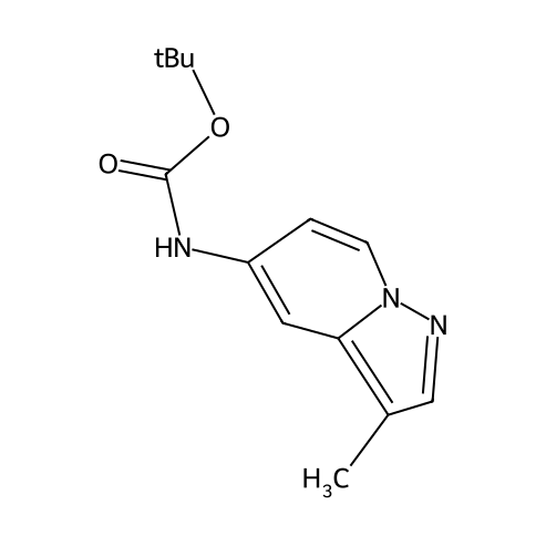 Cc1cnn2ccc(NC(=O)OC(C)(C)C)cc12